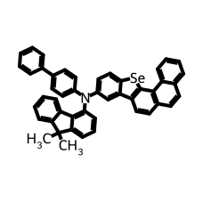 CC1(C)c2ccccc2-c2c(N(c3ccc(-c4ccccc4)cc3)c3ccc4[se]c5c(ccc6ccc7ccccc7c65)c4c3)cccc21